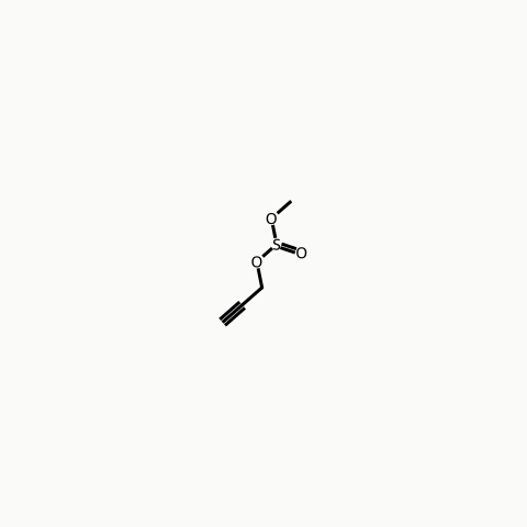 C#CCOS(=O)OC